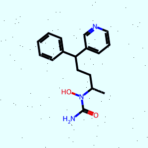 CC(CCC(c1ccccc1)c1cccnc1)N(O)C(N)=O